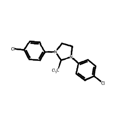 Clc1ccc(N2CCN(c3ccc(Cl)cc3)C2C(Cl)(Cl)Cl)cc1